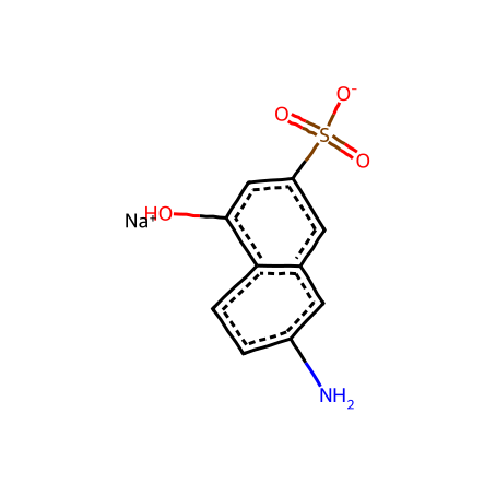 Nc1ccc2c(O)cc(S(=O)(=O)[O-])cc2c1.[Na+]